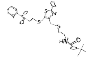 CC(C)(C)OC(=O)NCCSCc1nc(Cl)sc1SCCS(=O)(=O)c1ccccc1